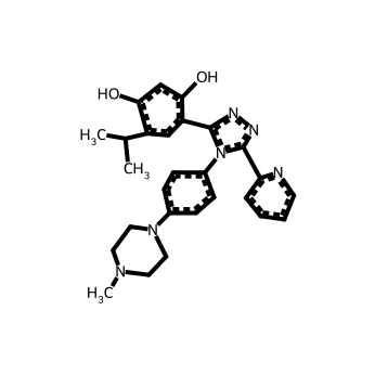 CC(C)c1cc(-c2nnc(-c3ccccn3)n2-c2ccc(N3CCN(C)CC3)cc2)c(O)cc1O